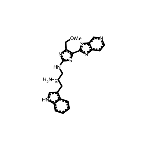 COCc1nc(NC[C@@H](N)Cc2c[nH]c3ccccc23)sc1-c1nc2ccncc2s1